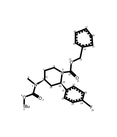 CN(C(=O)OC(C)(C)C)[C@H]1CCN(C(=O)OCc2ccccc2)[C@@H](c2ccc(F)cc2)C1